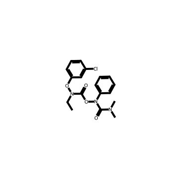 CCN(Oc1cccc(Cl)c1)C(=O)ON(C(=O)N(C)C)c1ccccc1